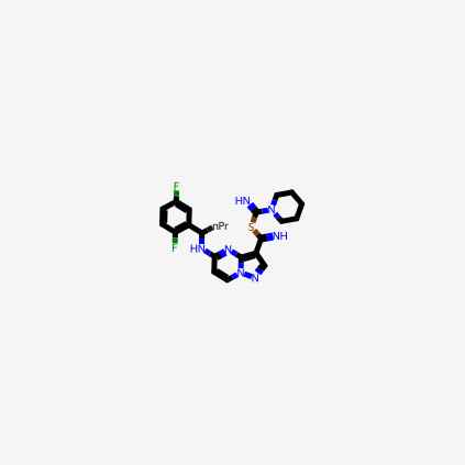 CCCC(Nc1ccn2ncc(C(=N)SC(=N)N3CCCCC3)c2n1)c1cc(F)ccc1F